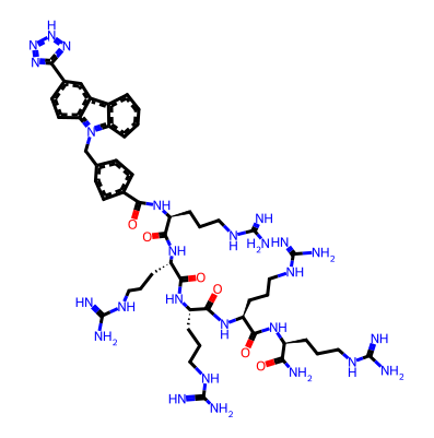 N=C(N)NCCC[C@H](NC(=O)[C@H](CCCNC(=N)N)NC(=O)[C@H](CCCNC(=N)N)NC(=O)[C@H](CCCNC(=N)N)NC(=O)[C@H](CCCNC(=N)N)NC(=O)c1ccc(Cn2c3ccccc3c3cc(-c4nn[nH]n4)ccc32)cc1)C(N)=O